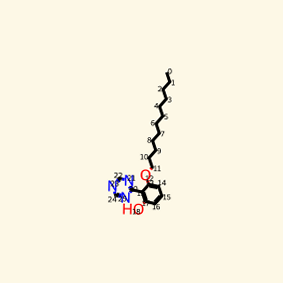 CCCCCCCCCCCCOc1cccc(O)c1-c1ncncn1